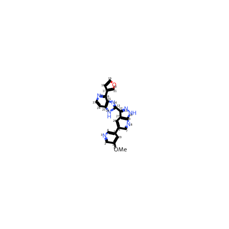 COc1cncc(-c2cnc3[nH]nc(-c4nc5c(-c6ccoc6)nccc5[nH]4)c3c2)c1